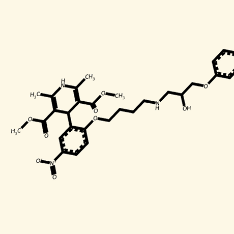 COC(=O)C1=C(C)NC(C)=C(C(=O)OC)C1c1cc([N+](=O)[O-])ccc1OCCCCNCC(O)COc1ccccc1